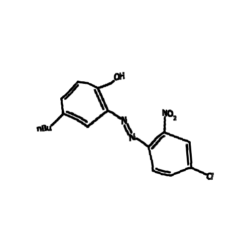 CCCCc1ccc(O)c(N=Nc2ccc(Cl)cc2[N+](=O)[O-])c1